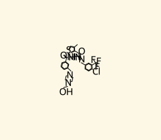 Cc1csc(NC(=O)c2cccc(CN3CCN(CCO)CC3)c2)c1C(=O)NN=Cc1ccc(Cl)c(C(F)(F)F)c1